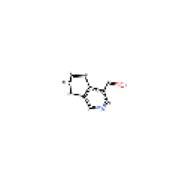 O=Cc1cncc2c1C=CCC2